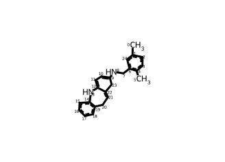 Cc1ccc(C)c(CNC2=CC=C3Nc4ccccc4CC=C3C2)c1